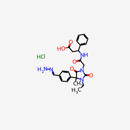 CCN1C(=O)N(CC(=O)NC(CC(=O)O)c2ccccc2)C(=O)C1(C)c1ccc(C=NN)cc1.Cl